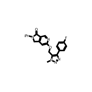 CC(C)N1Cc2cc(OCc3c(-c4ccc(F)cc4)nnn3C)ncc2C1=O